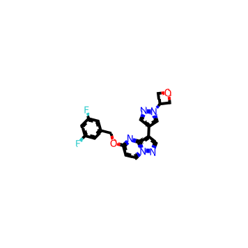 Fc1cc(F)cc(COc2ccn3ncc(-c4cnn(C5COC5)c4)c3n2)c1